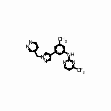 Cc1cc(Nc2nccc(C(F)(F)F)n2)cc(-c2cnn(Cc3ccnnc3)c2)c1